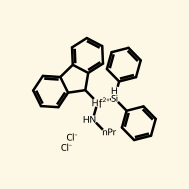 CCC[NH][Hf+2]([CH]1c2ccccc2-c2ccccc21)[SiH](c1ccccc1)c1ccccc1.[Cl-].[Cl-]